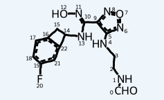 O=CNCCNc1nonc1/C(=N/O)NC1Cc2ccc(F)cc21